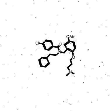 COc1ccc(OCCCN(C)C)c(CN(CCc2ccccc2)C(=O)c2ccc(Cl)cc2)c1